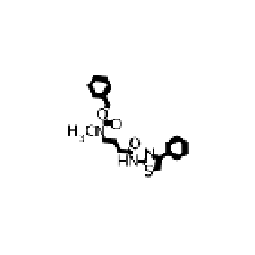 CN(CCCC(=O)Nc1nc(-c2ccccc2)cs1)C(=O)OCc1ccccc1